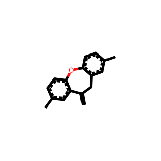 C=C1Cc2cc(C)ccc2Oc2ccc(C)cc21